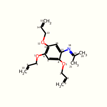 C=CCOc1cc(OCC=C)c(OCC=C)cc1N=C(C)C